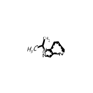 C=C(C)n1ncc2ncccc21